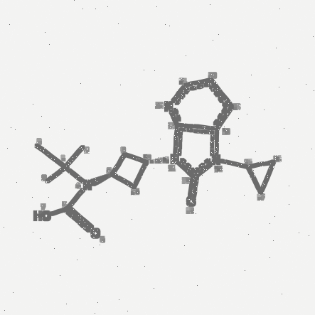 CC(C)(C)N(C(=O)O)[C@H]1C[C@H](n2c(=O)n(C3CC3)c3cccnc32)C1